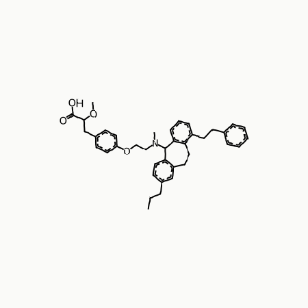 CCCc1ccc2c(c1)CCc1c(CCc3ccccc3)cccc1C2N(C)CCOc1ccc(CC(OC)C(=O)O)cc1